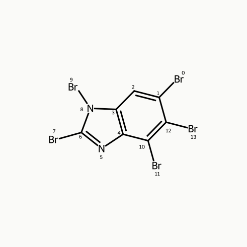 Brc1cc2c(nc(Br)n2Br)c(Br)c1Br